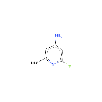 CC(C)(C)c1cc(N)cc(F)n1